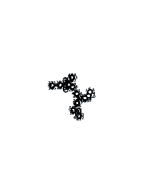 CC1(C)c2ccccc2-c2cc(N(c3ccc(-c4ccc5c(c4)c(=O)n(-c4ccc(-c6ccccc6)cc4)c(=O)n5-c4ccccc4)cc3)c3ccc(-c4cccc5c4oc4ccccc45)cc3)ccc21